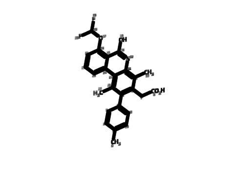 Cc1ccc(-c2c(CC(=O)O)c(C)c3nc(O)c4c(OC(F)F)cccc4c3c2C)cc1